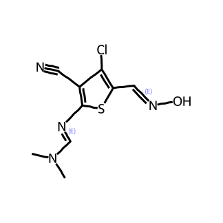 CN(C)/C=N/c1sc(/C=N/O)c(Cl)c1C#N